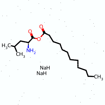 CCCCCCCCCCCC(=O)OC(=O)[C@@H](N)CC(C)C.[NaH].[NaH]